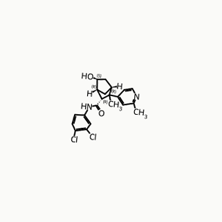 Cc1cc(C2(C)[C@@H]3C[C@H]([C@H]2C(=O)Nc2ccc(Cl)c(Cl)c2)[C@@H](O)C3)ccn1